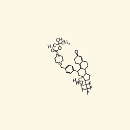 CC(C)(C)OC(=O)N1CCN(Cc2ccc(C3CC4(C)C(CC[C@@]4(O)C(F)(F)C(F)(F)F)C4CCC5=CC(=O)CCC5=C34)cc2)CC1